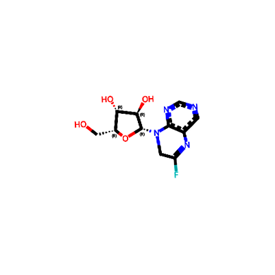 OC[C@H]1O[C@@H](N2CC(F)=Nc3cncnc32)[C@H](O)[C@H]1O